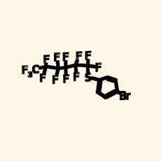 FC(F)(F)C(F)(F)C(F)(F)C(F)(F)C(F)(F)C(F)(F)Sc1ccc(Br)cc1